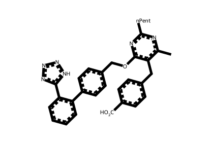 CCCCCc1nc(C)c(Cc2ccc(C(=O)O)cc2)c(OCc2ccc(-c3ccccc3-c3nnn[nH]3)cc2)n1